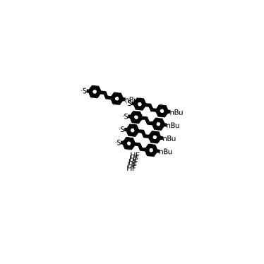 CCCCc1ccc(CCc2ccc([S])cc2)cc1.CCCCc1ccc(CCc2ccc([S])cc2)cc1.CCCCc1ccc(CCc2ccc([S])cc2)cc1.CCCCc1ccc(CCc2ccc([S])cc2)cc1.CCCCc1ccc(CCc2ccc([S])cc2)cc1.F.F.F.F.F